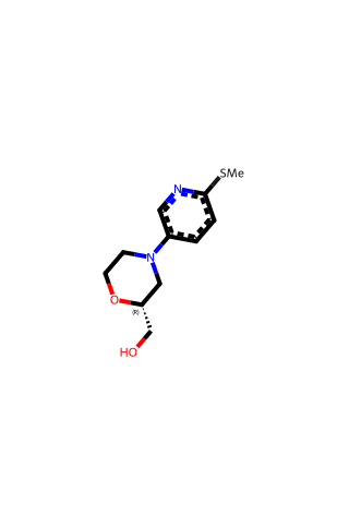 CSc1ccc(N2CCO[C@@H](CO)C2)cn1